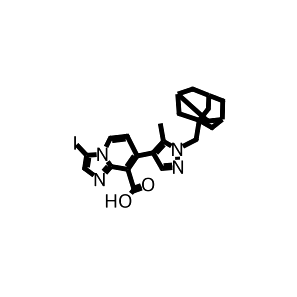 Cc1c(-c2ccn3c(I)cnc3c2C(=O)O)cnn1CC12CC3CC(CC(C3)C1)C2